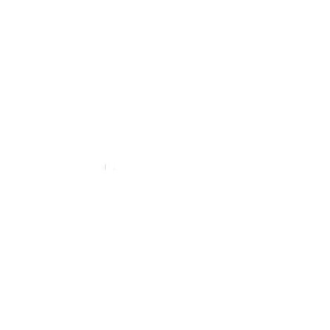 CC(CC(C)(C)C)CC1(OP=O)CCCCC1